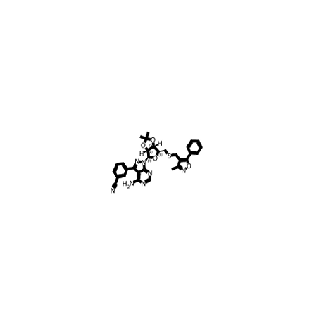 Cc1noc(-c2ccccc2)c1CSC[C@H]1O[C@@H](n2nc(-c3cccc(C#N)c3)c3c(N)ncnc32)[C@@H]2OC(C)(C)O[C@@H]21